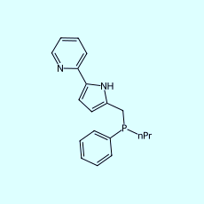 CCCP(Cc1ccc(-c2ccccn2)[nH]1)c1ccccc1